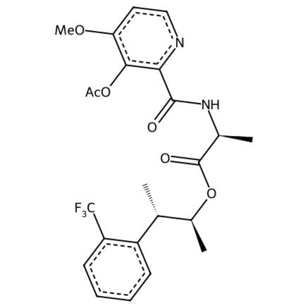 COc1ccnc(C(=O)N[C@@H](C)C(=O)O[C@@H](C)[C@@H](C)c2ccccc2C(F)(F)F)c1OC(C)=O